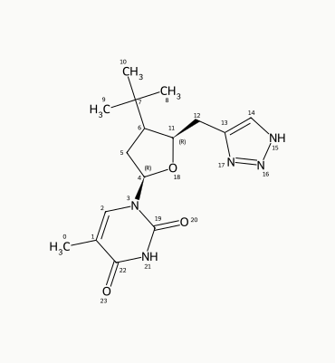 Cc1cn([C@H]2CC(C(C)(C)C)[C@@H](Cc3c[nH]nn3)O2)c(=O)[nH]c1=O